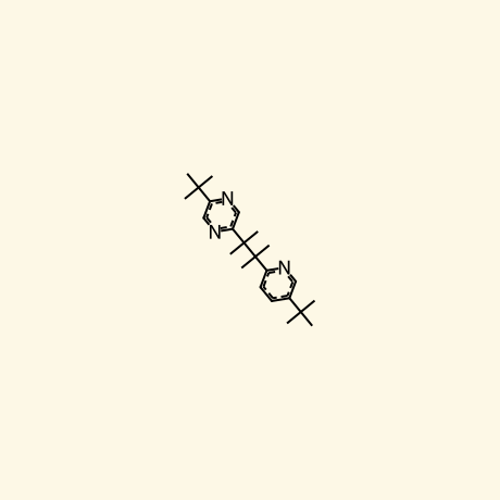 CC(C)(C)c1ccc(C(C)(C)C(C)(C)c2cnc(C(C)(C)C)cn2)nc1